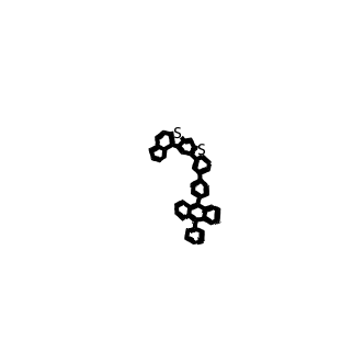 c1ccc(-c2c3ccccc3c(-c3ccc(-c4ccc5sc6cc7sc8ccc9ccccc9c8c7cc6c5c4)cc3)c3ccccc23)cc1